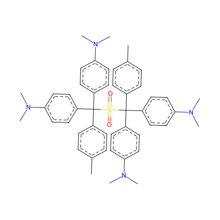 Cc1ccc(C(c2ccc(N(C)C)cc2)(c2ccc(N(C)C)cc2)S(=O)(=O)C(c2ccc(C)cc2)(c2ccc(N(C)C)cc2)c2ccc(N(C)C)cc2)cc1